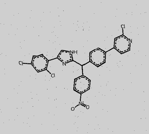 O=[N+]([O-])c1ccc(C(c2ccc(-c3ccnc(Cl)c3)cc2)c2nc(-c3ccc(Cl)cc3Cl)c[nH]2)cc1